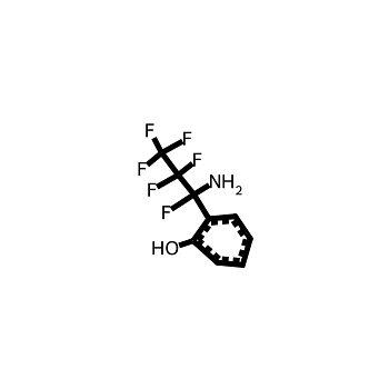 NC(F)(c1ccccc1O)C(F)(F)C(F)(F)F